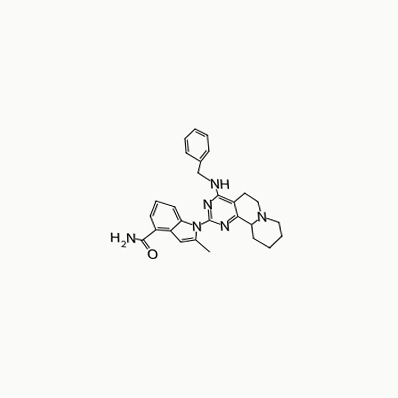 Cc1cc2c(C(N)=O)cccc2n1-c1nc(NCc2ccccc2)c2c(n1)C1CCCCN1CC2